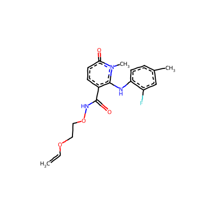 C=COCCONC(=O)c1ccc(=O)n(C)c1Nc1ccc(C)cc1F